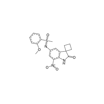 COc1ccccc1S(C)(=O)=Nc1cc([N+](=O)[O-])c2c(c1)C1(CCC1)C(=O)N2